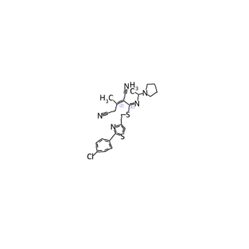 C/C(CC#N)=C(C#N)/C(=N\C(C)N1CCCC1)SCc1csc(-c2ccc(Cl)cc2)n1